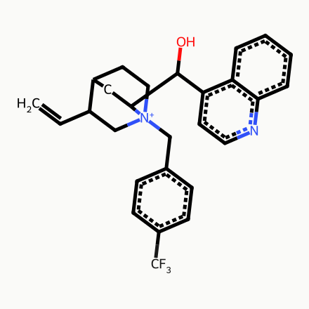 C=CC1C[N+]2(Cc3ccc(C(F)(F)F)cc3)CCC1CC2C(O)c1ccnc2ccccc12